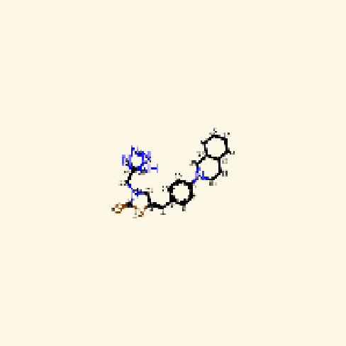 S=C1SC(=Cc2ccc(N3CCC4CCCCC4C3)cc2)CN1Cc1nnn[nH]1